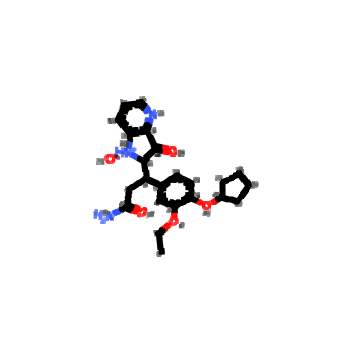 CCOc1cc(C(CC(N)=O)C2C(=O)c3ncccc3[NH+]2[O-])ccc1OC1CCCC1